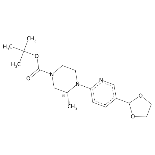 C[C@@H]1CN(C(=O)OC(C)(C)C)CCN1c1ccc(C2OCCO2)cn1